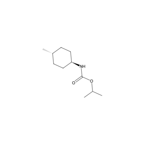 CC(C)OC(=O)N[C@H]1CC[C@H](C)CC1